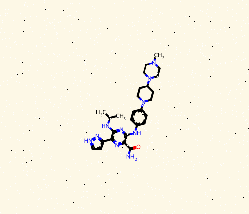 CC(C)Nc1nc(Nc2ccc(N3CCC(N4CCN(C)CC4)CC3)cc2)c(C(N)=O)nc1-c1cc[nH]n1